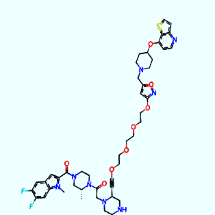 C[C@@H]1CN(CC(=O)N2CCN(C(=O)c3cc4cc(F)c(F)cc4n3C)C[C@H]2C)C(C#COCCOCCOCCOc2cc(CN3CCC(Oc4ccnc5ccsc45)CC3)on2)CN1